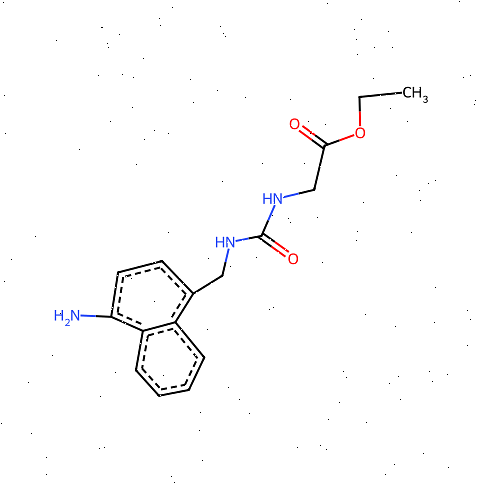 CCOC(=O)CNC(=O)NCc1ccc(N)c2ccccc12